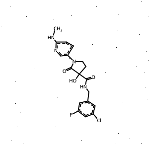 CNc1ccc(N2CCC(O)(C(=O)NCc3cc(F)cc(Cl)c3)C2=O)cn1